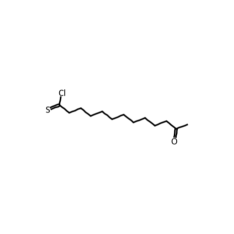 CC(=O)CCCCCCCCCCC(=S)Cl